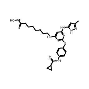 Cc1cc(Nc2cc(NCCCCCCCC(=O)NO)nc(Sc3ccc(NC(=O)C4CC4)cc3)n2)[nH]n1